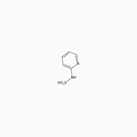 O=S(=O)(O)Nc1ccccn1